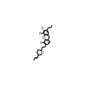 C/C=C/C1CCC(CCc2ccc3c(c2F)Oc2c(cc(CCC)c(F)c2F)C3)OC1